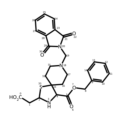 O=C(O)CC1NC(C(=O)OCc2ccccc2)C2(CCN(CN3C(=O)c4ccccc4C3=O)CC2)S1